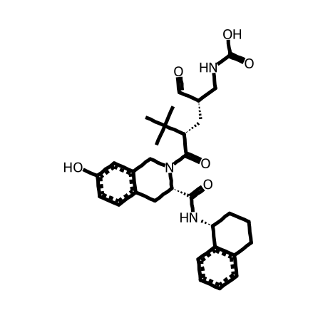 CC(C)(C)[C@H](C[C@H](C=O)CNC(=O)O)C(=O)N1Cc2cc(O)ccc2C[C@H]1C(=O)N[C@@H]1CCCc2ccccc21